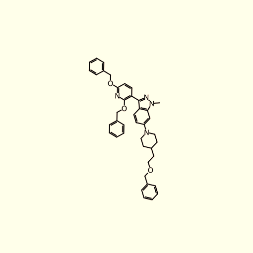 Cn1nc(-c2ccc(OCc3ccccc3)nc2OCc2ccccc2)c2ccc(N3CCC(CCOCc4ccccc4)CC3)cc21